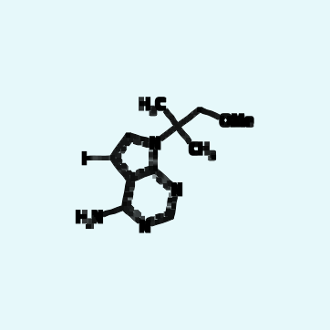 COCC(C)(C)n1cc(I)c2c(N)ncnc21